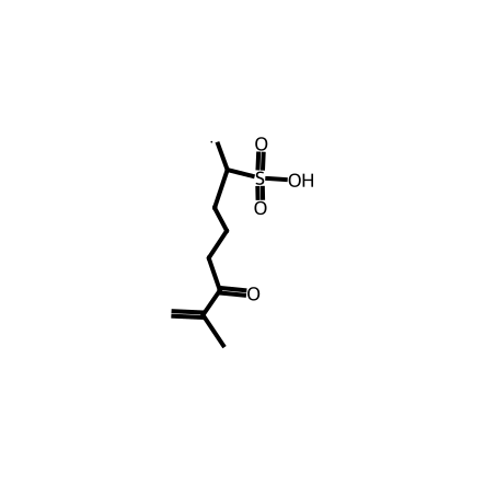 [CH2]C(CCCC(=O)C(=C)C)S(=O)(=O)O